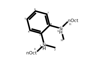 CCCCCCCC[SiH](C)c1ccccc1[SiH](C)CCCCCCCC